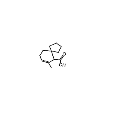 CC1=CCCC2(CCCC2)C1C(=O)O